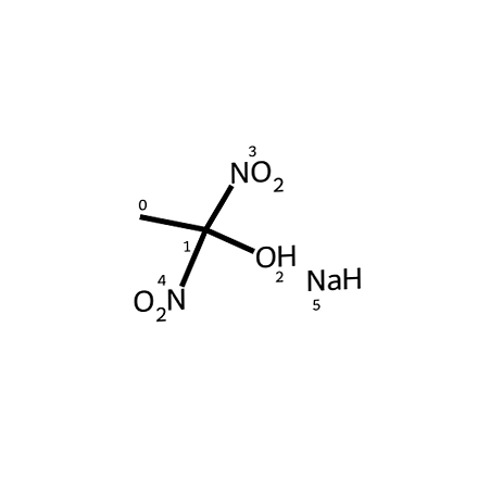 CC(O)([N+](=O)[O-])[N+](=O)[O-].[NaH]